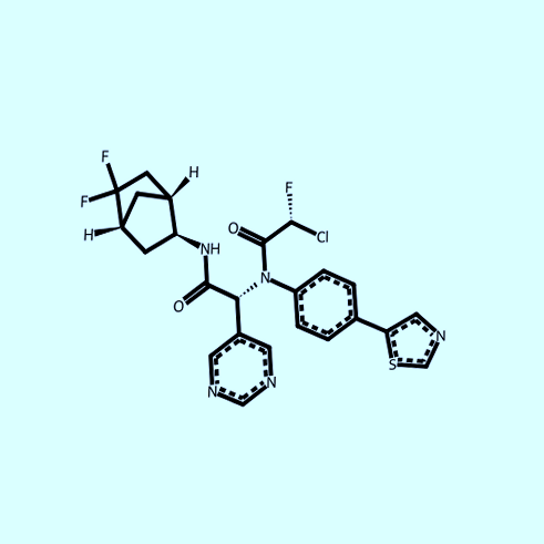 O=C(N[C@H]1C[C@H]2C[C@@H]1CC2(F)F)[C@@H](c1cncnc1)N(C(=O)[C@H](F)Cl)c1ccc(-c2cncs2)cc1